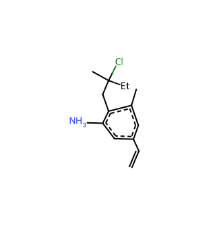 C=Cc1cc(C)c(CC(C)(Cl)CC)c(C)c1.N